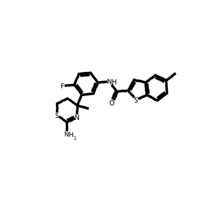 Cc1ccc2sc(C(=O)Nc3ccc(F)c(C4(C)CCSC(N)=N4)c3)cc2c1